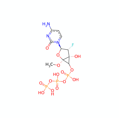 CO[C@]12O[C@@H](n3ccc(N)nc3=O)[C@H](F)[C@@]1(O)C2OP(=O)(O)OP(=O)(O)OP(=O)(O)O